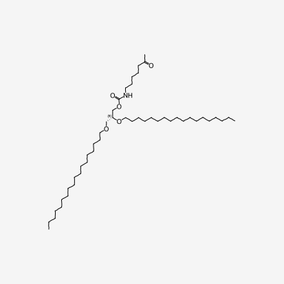 CCCCCCCCCCCCCCCCCCOC[C@H](COC(=O)NCCCCCC(C)=O)OCCCCCCCCCCCCCCCCCC